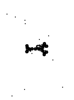 N#Cc1cc(-n2c3ccc(-n4c5ccccc5c5ccccc54)cc3c3cc(-n4c5ccccc5c5ccccc54)ccc32)ccc1-c1ccc(-c2ccc(-c3cc(-c4ccccc4)nc(-c4ccccc4)n3)cc2)cc1